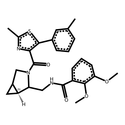 COc1cccc(C(=O)NCC2[C@H]3CC3CN2C(=O)c2nc(C)sc2-c2cccc(C)c2)c1OC